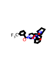 Cc1nc2ccccc2n1C1CC2CCC(C1)N2CCC1(c2ccccc2)CCN(C(=O)c2cccc(C(F)(F)F)c2)CC1